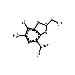 Cc1cc([N+](=O)[O-])c2c(c1Cl)CC(CO)O2